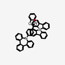 c1ccc2c(c1)-c1ccccc1N(c1ccc(-c3cccc4c3[Si]3(c5ccccc5-4)c4ccccc4-c4cccc(-c5nc6ccccc6o5)c43)cc1)c1ccccc1-2